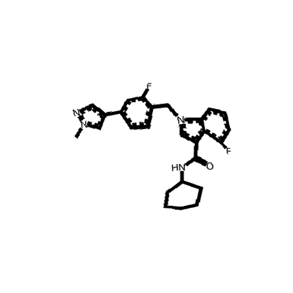 Cn1cc(-c2ccc(Cn3cc(C(=O)NC4CCCCC4)c4c(F)cccc43)c(F)c2)cn1